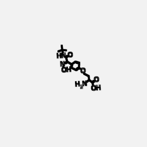 CC(C)(C)NC(=O)/C(=N/O)c1ccc(OCCC(N)C(=O)O)cc1